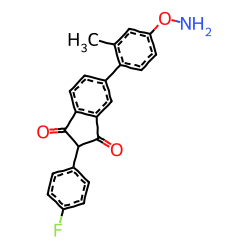 Cc1cc(ON)ccc1-c1ccc2c(c1)C(=O)C(c1ccc(F)cc1)C2=O